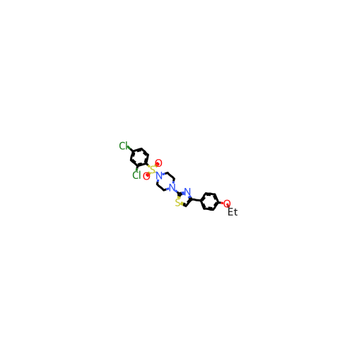 CCOc1ccc(-c2csc(N3CCN(S(=O)(=O)c4ccc(Cl)cc4Cl)CC3)n2)cc1